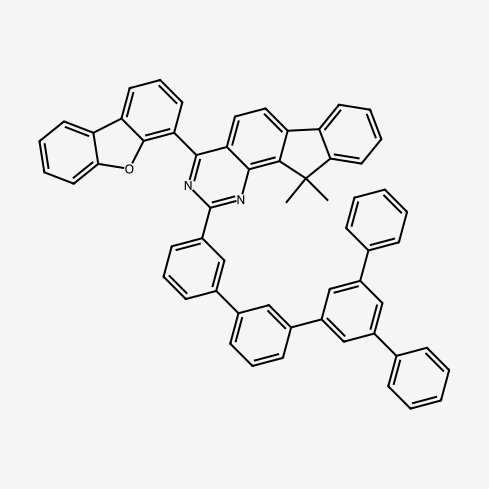 CC1(C)c2ccccc2-c2ccc3c(-c4cccc5c4oc4ccccc45)nc(-c4cccc(-c5cccc(-c6cc(-c7ccccc7)cc(-c7ccccc7)c6)c5)c4)nc3c21